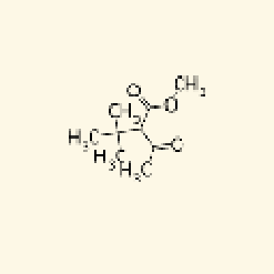 COC(=O)C(C(C)=O)C(C)(C)C